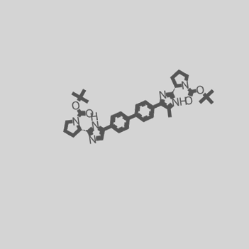 Cc1[nH]c([C@@H]2CCCN2C(=O)OC(C)(C)C)nc1-c1ccc(-c2ccc(-c3cnc([C@@H]4CCCN4C(=O)OC(C)(C)C)[nH]3)cc2)cc1